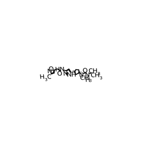 Cc1cc(CC(=O)Nc2cc([C@@H]3CC[C@H](N(C)C(=O)NC(C)C)C3)[nH]n2)on1